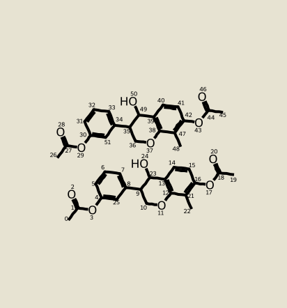 CC(=O)Oc1cccc(C2COc3c(ccc(OC(C)=O)c3C)C2O)c1.CC(=O)Oc1cccc(C2COc3c(ccc(OC(C)=O)c3C)C2O)c1